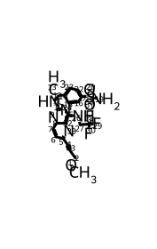 COCC#Cc1ccc2nc(NC(C)c3ccc(S(N)(=O)=O)cc3)nc(NCC(F)(F)F)c2n1